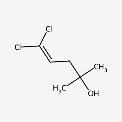 CC(C)(O)CC=C(Cl)Cl